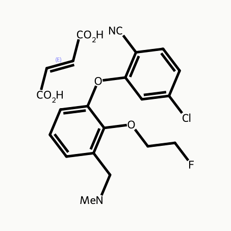 CNCc1cccc(Oc2cc(Cl)ccc2C#N)c1OCCF.O=C(O)/C=C/C(=O)O